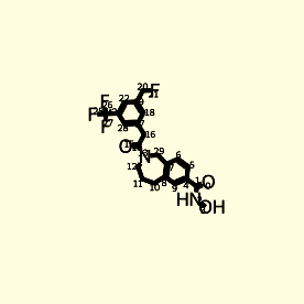 O=C(NO)c1ccc2c(c1)CCCN(C(=O)Cc1cc(CF)cc(C(F)(F)F)c1)C2